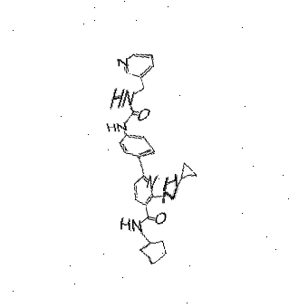 O=C(NCc1cccnc1)Nc1ccc(-c2ccc(C(=O)NC3CCCC3)c(NC3CC3)n2)cc1